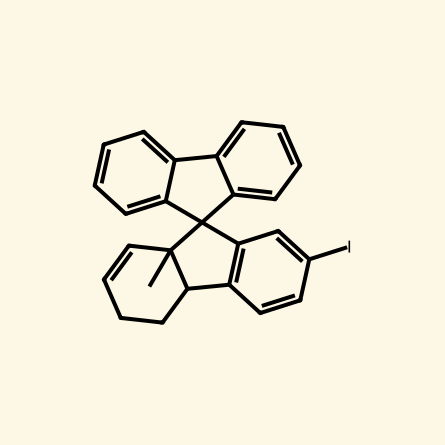 CC12C=CCCC1c1ccc(I)cc1C21c2ccccc2-c2ccccc21